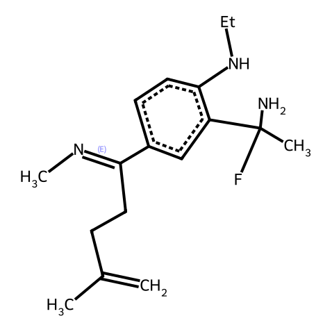 C=C(C)CC/C(=N\C)c1ccc(NCC)c(C(C)(N)F)c1